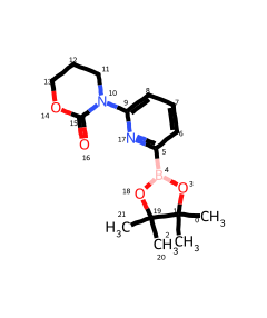 CC1(C)OB(c2cccc(N3CCCOC3=O)n2)OC1(C)C